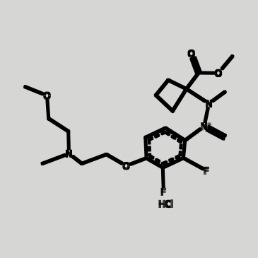 C=[N+](c1ccc(OCCN(C)CCOC)c(F)c1F)N(C)C1(C(=O)OC)CCC1.Cl